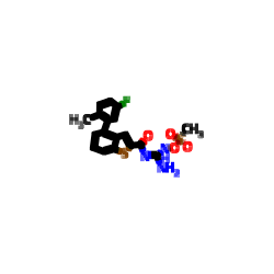 Cc1ccc(F)cc1-c1cccc2sc(C(=O)N=C(N)NOS(C)(=O)=O)cc12